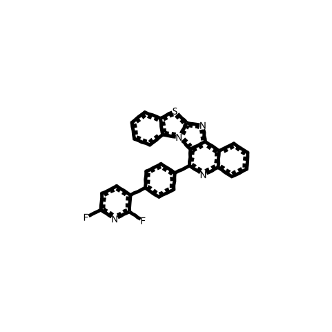 Fc1ccc(-c2ccc(-c3nc4ccccc4c4nc5sc6ccccc6n5c34)cc2)c(F)n1